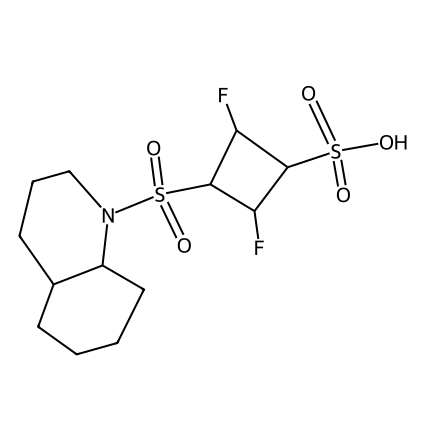 O=S(=O)(O)C1C(F)C(S(=O)(=O)N2CCCC3CCCCC32)C1F